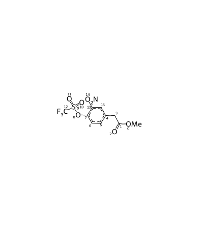 COC(=O)Cc1ccc(OS(=O)(=O)C(F)(F)F)c([N+](=O)[O-])c1